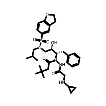 CC(C)CN(C[C@@H](O)[C@H](Cc1ccccc1)N(NC(=O)CNC1CC1)C(=O)CC(C)(C)C)S(=O)(=O)c1ccc2c(c1)CCO2